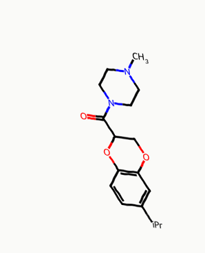 CC(C)c1ccc2c(c1)OCC(C(=O)N1CCN(C)CC1)O2